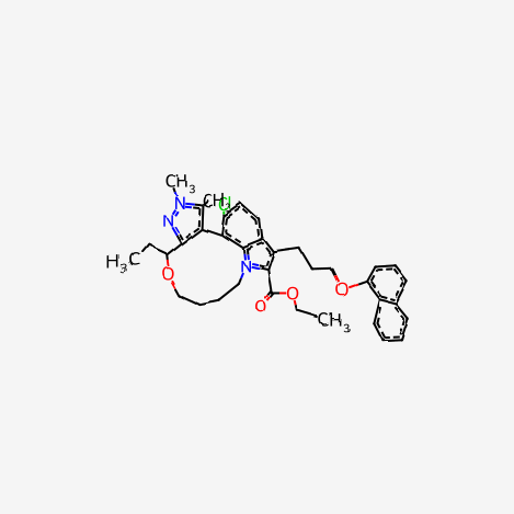 CCOC(=O)c1c(CCCOc2cccc3ccccc23)c2ccc(Cl)c3c2n1CCCCOC(CC)c1nn(C)c(C)c1-3